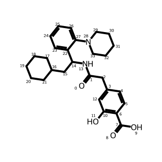 O=C(Cc1ccc(C(=O)O)c(O)c1)NC(CC1CCCCC1)c1ccccc1N1CCCCC1